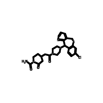 NC(=O)N1CCC(CC(=O)N2CCN(C3c4ccc(Cl)cc4SCc4cccnc43)CC2)CC1=O